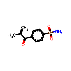 C=C(C)C(=O)c1ccc(S(N)(=O)=O)cc1